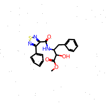 COC(=O)C(O)C(Cc1ccccc1)NC(=O)c1nsnc1-c1ccccc1